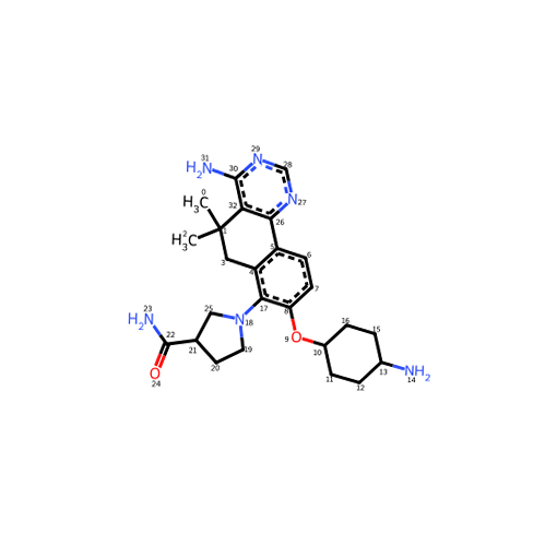 CC1(C)Cc2c(ccc(OC3CCC(N)CC3)c2N2CCC(C(N)=O)C2)-c2ncnc(N)c21